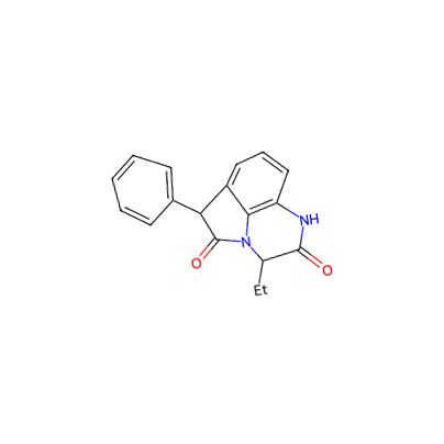 CCC1C(=O)Nc2cccc3c2N1C(=O)C3c1ccccc1